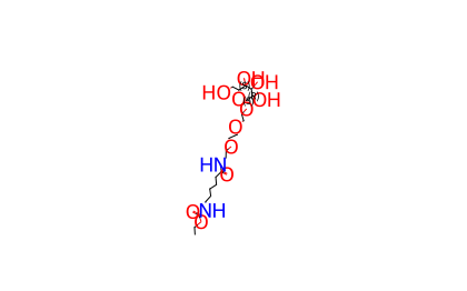 CCOC(=O)NCCCCCC(=O)NCCOCCOCCO[C@H]1OC(CO)[C@@H](O)C(O)[C@H]1O